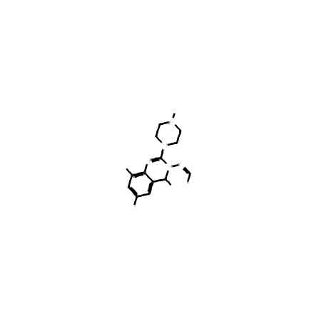 C/C=N\N1C(N2CCN(C)CC2)=Nc2c(F)cc(Cl)cc2C1C